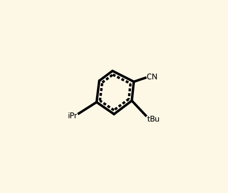 CC(C)c1ccc(C#N)c(C(C)(C)C)c1